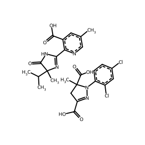 CC1(C(=O)O)CC(C(=O)O)=NN1c1ccc(Cl)cc1Cl.Cc1cnc(C2=NC(C)(C(C)C)C(=O)N2)c(C(=O)O)c1